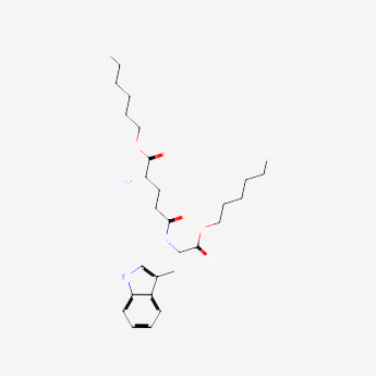 CCCCCCOC(=O)[C@H](Cc1c[nH]c2ccccc12)NC(=O)CC[C@H](N)C(=O)OCCCCCC.Cl